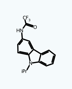 CC(C)n1c2ccccc2c2cc(NC(=O)C(F)(F)F)ccc21